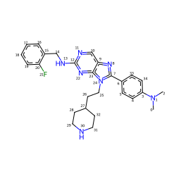 CN(C)c1ccc(-c2nc3cnc(NCc4ccccc4F)nc3n2CCC2CCNCC2)cc1